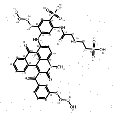 Cn1c(=O)c(C(=O)c2cccc(SOOO)c2)c2c3c(c(Nc4cc(NC(=O)CNCCS(=O)(=O)O)c(S(=O)(=O)O)cc4SOOO)ccc31)C(=O)c1ccccc1-2